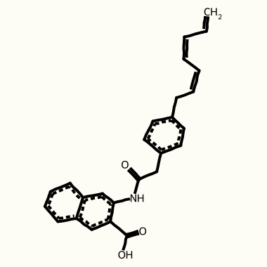 C=C/C=C\C=C/Cc1ccc(CC(=O)Nc2cc3ccccc3cc2C(=O)O)cc1